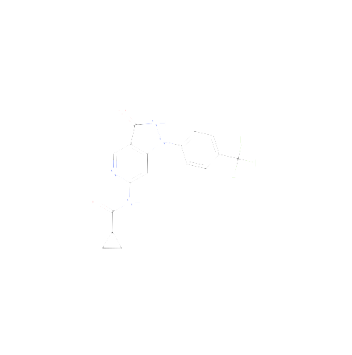 O=C(Nc1cc2c(cn1)c(=O)[nH]n2-c1ccc(C(F)(F)F)cc1)C1CC1